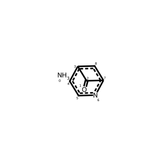 N.O=C1c2ccnc1c2